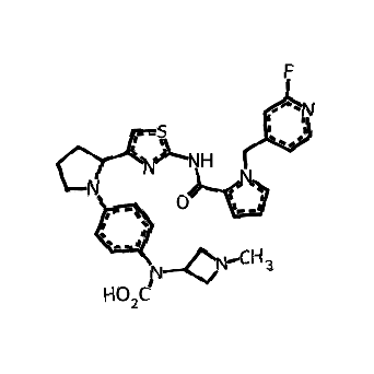 CN1CC(N(C(=O)O)c2ccc(N3CCCC3c3csc(NC(=O)c4cccn4Cc4ccnc(F)c4)n3)cc2)C1